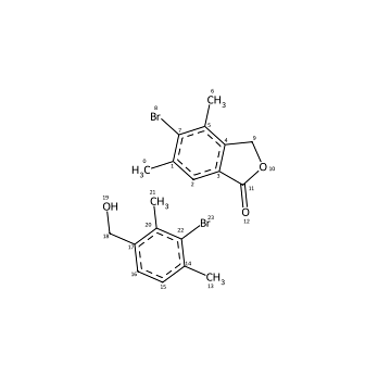 Cc1cc2c(c(C)c1Br)COC2=O.Cc1ccc(CO)c(C)c1Br